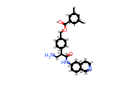 Cc1cc(C)cc(C(=O)OCc2ccc(C(CN)C(=O)Nc3ccc4cnccc4c3)cc2)c1